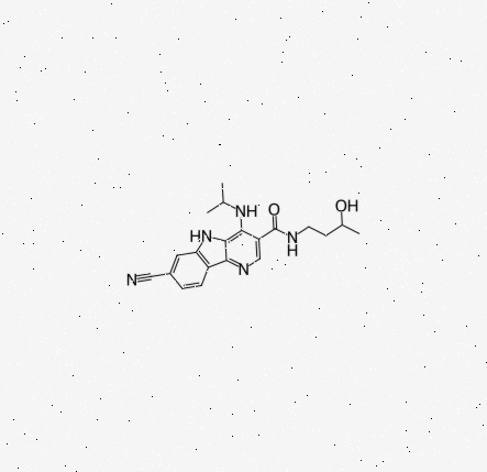 CC(O)CCNC(=O)c1cnc2c([nH]c3cc(C#N)ccc32)c1NC(C)C